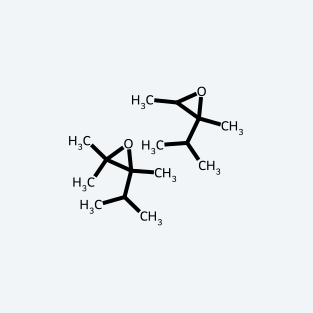 CC(C)C1(C)OC1(C)C.CC(C)C1(C)OC1C